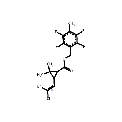 Cc1c(F)c(F)c(COC(=O)C2C(/C=C(/Cl)C#N)C2(C)C)c(F)c1F